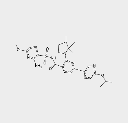 COc1ccc(S(=O)(=O)NC(=O)c2ccc(-c3ccc(OC(C)C)nc3)nc2N2CCC(C)C2(C)C)c(N)n1